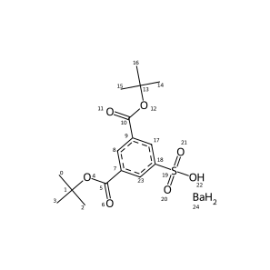 CC(C)(C)OC(=O)c1cc(C(=O)OC(C)(C)C)cc(S(=O)(=O)O)c1.[BaH2]